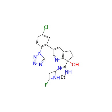 CCNC(=NC1CC(F)N1)C1(O)CCc2cc(-c3cc(Cl)ccc3-n3cnnn3)cnc21